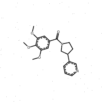 COc1cc(C(=O)N2CCC(c3cccnc3)C2)cc(OC)c1OC